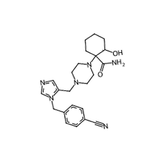 N#Cc1ccc(Cn2cncc2CN2CCN(C3(C(N)=O)CCCC[C]3O)CC2)cc1